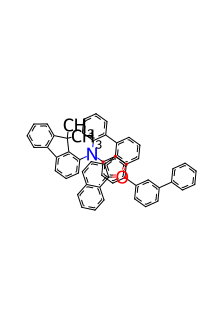 CC1(C)c2ccccc2-c2cccc(N(c3ccc(-c4cccc(-c5ccccc5)c4)cc3)c3ccccc3-c3cccc4oc5c6ccccc6ccc5c34)c21